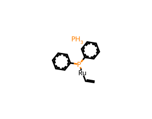 C=[CH][Ru][P](c1ccccc1)c1ccccc1.P